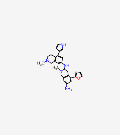 CN1CCc2c(cc(NC3Cc4c(cc(N)cc4-c4ccco4)CN3C)cc2-c2cc[nH]c2)C1